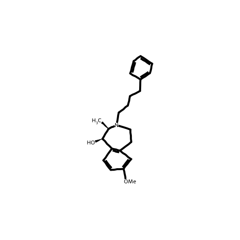 COc1ccc2c(c1)CCN(CCCCc1ccccc1)[C@H](C)[C@@H]2O